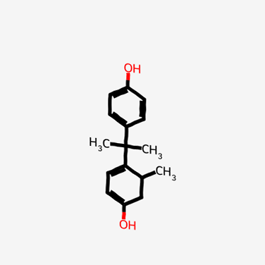 CC1CC(O)=CC=C1C(C)(C)c1ccc(O)cc1